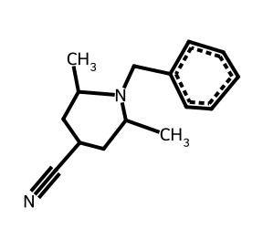 CC1CC(C#N)CC(C)N1Cc1ccccc1